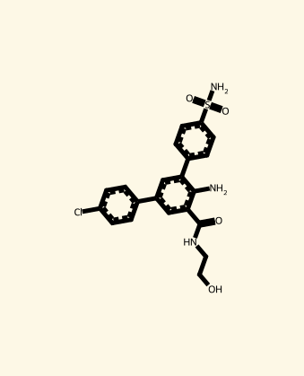 Nc1c(C(=O)NCCO)cc(-c2ccc(Cl)cc2)cc1-c1ccc(S(N)(=O)=O)cc1